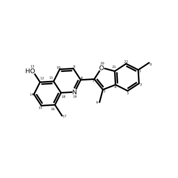 Cc1ccc2c(C)c(-c3ccc4c(O)ccc(C)c4n3)oc2c1